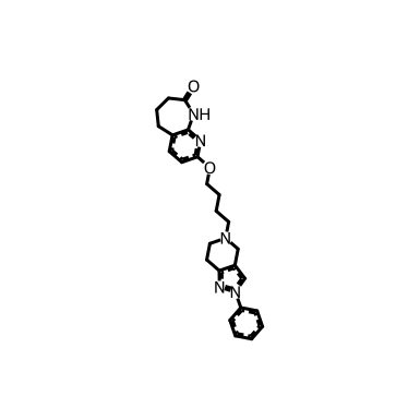 O=C1CCCc2ccc(OCCCCN3CCc4nn(-c5ccccc5)cc4C3)nc2N1